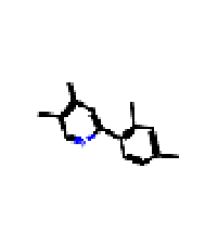 Cc1ccc(-c2cc(C)c(C)cn2)c(C)c1